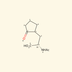 CC(=O)N[C@@H](CC1CCCC1=O)C(=O)O